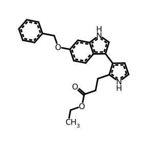 CCOC(=O)CCc1[nH]ccc1-c1c[nH]c2cc(OCc3ccccc3)ccc12